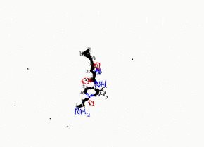 C[C@@H]1CN(C(=O)CCCN)CC[C@@H]1NC(=O)c1cc(C2CC2)on1